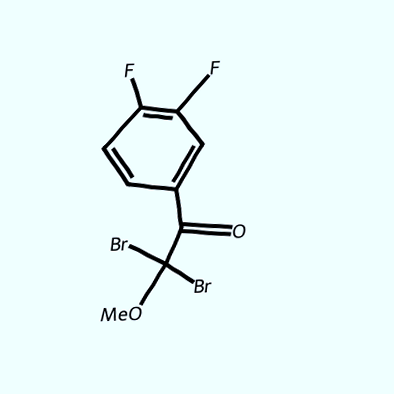 COC(Br)(Br)C(=O)c1ccc(F)c(F)c1